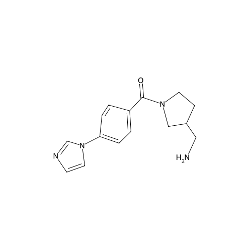 NCC1CCN(C(=O)c2ccc(-n3ccnc3)cc2)C1